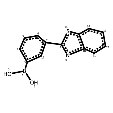 OB(O)c1cccc(-c2nc3ccccc3s2)c1